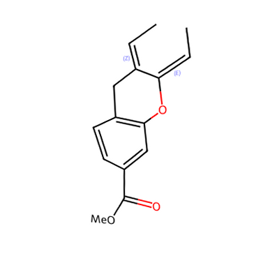 C/C=C1/Cc2ccc(C(=O)OC)cc2O/C1=C/C